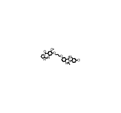 COc1cc2c(cc1OCCCOc1ccc3nc(C)n(-c4ccc(Cl)cc4Cl)c(=O)c3c1)N=C[C@@H]1CCCN1C2=O